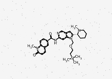 CN1CCCC[C@@H]1c1cc2cnc(NC(=O)c3ccc4c(ccc(=O)n4C)c3)cc2n1COCC[Si](C)(C)C